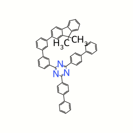 CC1(C)c2ccccc2-c2ccc(-c3cccc(-c4cccc(-c5nc(-c6ccc(-c7ccccc7)cc6)nc(-c6ccc(-c7ccccc7)cc6)n5)c4)c3)cc21